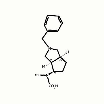 CC(C)(C)N(C(=O)O)[C@@H]1CC[C@@H]2CN(Cc3ccccc3)C[C@@H]21